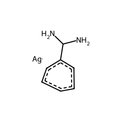 NC(N)c1ccccc1.[Ag]